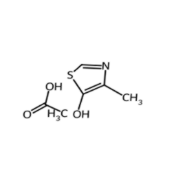 CC(=O)O.Cc1ncsc1O